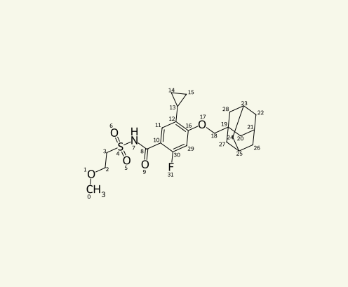 COCCS(=O)(=O)NC(=O)c1cc(C2CC2)c(OCC23CC4CC(CC(C4)C2)C3)cc1F